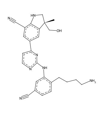 C[C@]1(CO)CNc2c(C#N)cc(-c3ccnc(Nc4cc(C#N)ccc4CCCCN)n3)cc21